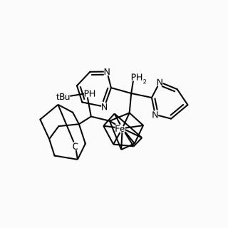 CC(C)(C)PC(C12CC3CC(CC(C3)C1)C2)[C]12[CH]3[CH]4[CH]5[C]1(C(P)(c1ncccn1)c1ncccn1)[Fe]43521678[CH]2[CH]1[CH]6[CH]7[CH]28